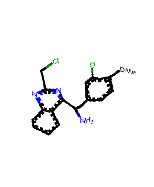 COc1ccc(C(N)c2nc(CCl)nc3ccccc23)cc1Cl